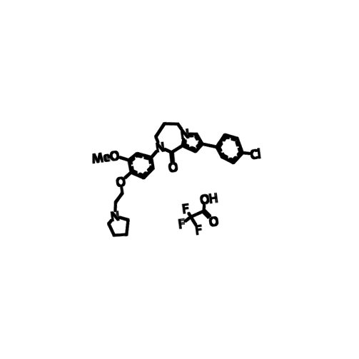 COc1cc(N2CCCn3cc(-c4ccc(Cl)cc4)cc3C2=O)ccc1OCCN1CCCC1.O=C(O)C(F)(F)F